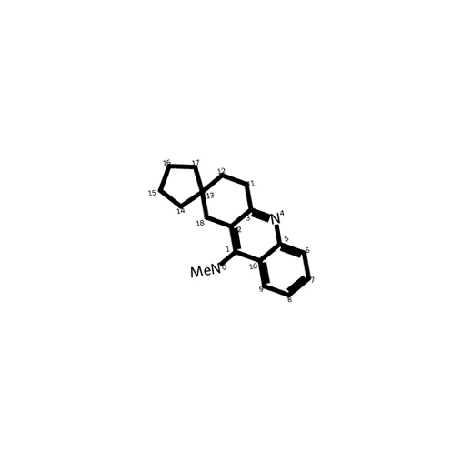 CNc1c2c(nc3ccccc13)CCC1(CCCC1)C2